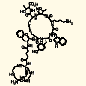 CC(O)C(NC(=O)[C@@H]1CCSSC[C@H](NC(=O)[C@@H](Cc2ccccc2)NC(=O)CCCC(=O)N[C@]23CNCCNC[C@@](N)(CNCCNC2)CNCCN3)C(=O)N[C@@H](Cc2ccc(O)cc2)C(=O)N[C@H](Cc2c[nH]c3ccccc23)C(=O)N[C@@H](CCCCN)C(=O)NC(C(C)O)C(=O)N1)C(=O)O